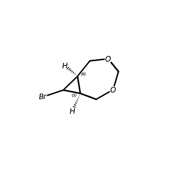 BrC1[C@H]2COCOC[C@@H]12